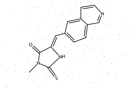 CN1C(=O)/C(=C/c2ccc3cnccc3c2)NC1=S